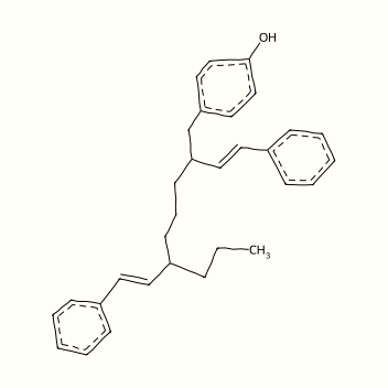 CCCC(C=Cc1ccccc1)CCCC(C=Cc1ccccc1)Cc1ccc(O)cc1